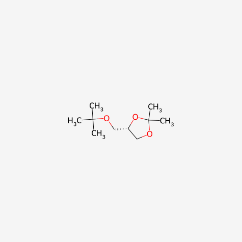 CC(C)(C)OC[C@H]1COC(C)(C)O1